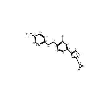 Cc1cc(-c2c[nH]c(C3CC3)n2)ccc1CCc1ccc(C(F)(F)F)cn1